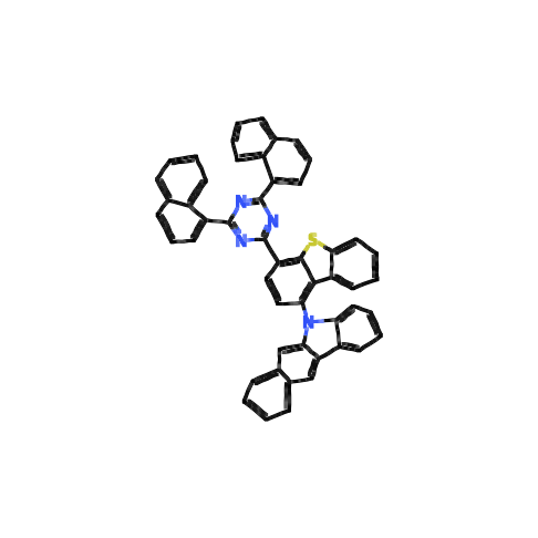 c1ccc2cc3c(cc2c1)c1ccccc1n3-c1ccc(-c2nc(-c3cccc4ccccc34)nc(-c3cccc4ccccc34)n2)c2sc3ccccc3c12